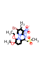 CCOc1nc([C@@H](CS(C)(=O)=O)Nc2ncc(Br)c(C)c2[N+](=O)[O-])ccc1OC